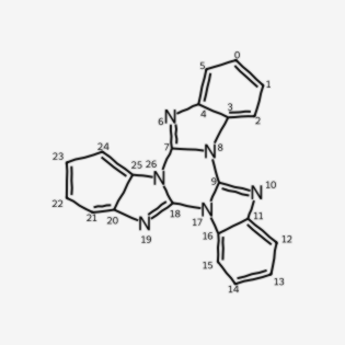 c1ccc2c(c1)nc1n2c2nc3ccccc3n2c2nc3ccccc3n12